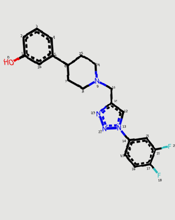 Oc1cccc(C2CCN(Cc3cn(-c4ccc(F)c(F)c4)nn3)CC2)c1